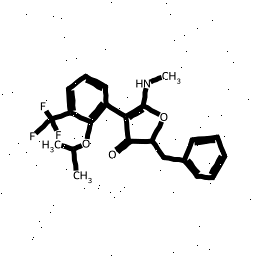 CNC1=C(c2cccc(C(F)(F)F)c2OC(C)C)C(=O)C(Cc2ccccc2)O1